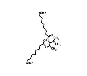 CCCCCCCCCCCCCCCCCC(=O)OC(C)C(OC(=O)CCCCCCCCCCCCCCCCC)N(C)C